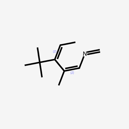 C=N/C=C(C)\C(=C/C)C(C)(C)C